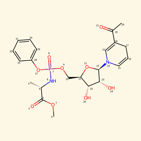 COC(=O)[C@H](C)NP(=O)(OC[C@H]1O[C@@H](N2C=CCC(C(C)=O)=C2)[C@H](O)[C@@H]1O)Oc1ccccc1